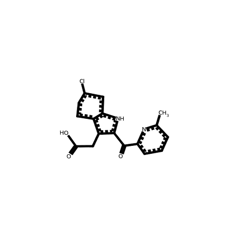 Cc1cccc(C(=O)c2[nH]c3cc(Cl)ccc3c2CC(=O)O)n1